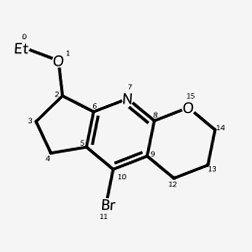 CCOC1CCc2c1nc1c(c2Br)CCCO1